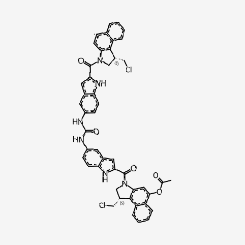 CC(=O)Oc1cc2c(c3ccccc13)[C@H](CCl)CN2C(=O)c1cc2cc(NC(=O)Nc3ccc4[nH]c(C(=O)N5C[C@@H](CCl)c6c5c[c]c5ccccc65)cc4c3)ccc2[nH]1